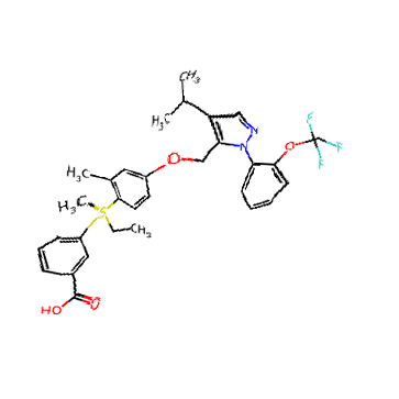 CCS(C)(c1cccc(C(=O)O)c1)c1ccc(OCc2c(C(C)C)cnn2-c2ccccc2OC(F)(F)F)cc1C